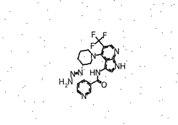 NN=N[C@@H]1CCCN(c2c(C(F)(F)F)cnc3[nH]cc(NC(=O)c4cccnc4)c23)C1